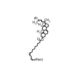 CCCCC/C=C\C/C=C\CCCCCCCC(=O)O[C@H]1CC[C@@]2(C)C(CC=C3C2CC[C@@]2(C)C3CC[C@@H]2[C@H](C)C=C[C@H](C)C(C)C)C1